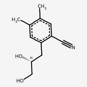 Cc1cc(C#N)c(C[C@@H](O)CO)cc1C